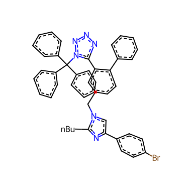 CCCCc1nc(-c2ccc(Br)cc2)cn1Cc1ccc(-c2ccccc2)c(-c2nnnn2C(c2ccccc2)(c2ccccc2)c2ccccc2)c1